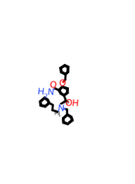 C[C@H](CCc1ccccc1)N(Cc1ccccc1)C[C@H](O)c1ccc(OCc2ccccc2)c(C(N)=O)c1